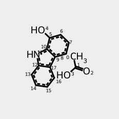 CC(=O)O.Oc1cccc2c1[nH]c1ccccc12